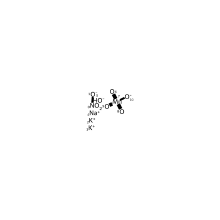 O=[N+]([O-])[O-].[K+].[K+].[Na+].[OH-].[O]=[Mn](=[O])(=[O])[O-]